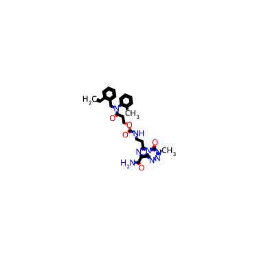 C=Cc1ccccc1CN(C(=O)CCOC(=O)NCCc1nc(C(N)=O)c2nnn(C)c(=O)n12)c1ccccc1C